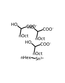 CCCCCCCCC(O)C(=O)[O-].CCCCCCCCC(O)C(=O)[O-].CCCCCCCCC(O)C(=O)[O-].CCCCC[CH2][Sn+3]